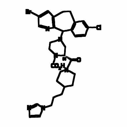 O=C([C@H]1CN(C2c3ccc(Cl)cc3CCc3cc(Br)cnc32)CCN1C(=O)O)N1CCC(CCCn2ccnc2)CC1